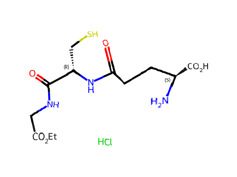 CCOC(=O)CNC(=O)[C@H](CS)NC(=O)CC[C@H](N)C(=O)O.Cl